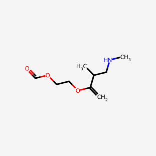 C=C(OCCOC=O)C(C)CNC